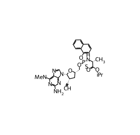 C#C[C@H]1C[C@@H](CO[P@@](=S)(N[C@H](C)C(=O)OC(C)C)Oc2cccc3ccccc23)O[C@H]1n1cnc2c(NC)nc(N)nc21